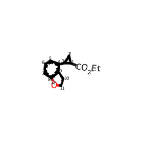 CCOC(=O)C1CC1c1cccc2c1CCO2